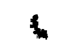 O=C(c1c(F)cc(F)cc1F)c1c[nH]c2c(=O)n(Cc3nc4ncc(C(=O)N5CCOCC5)cc4[nH]3)ccc12